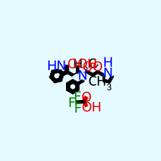 CO[C@@H]([C@@H]1CCCN1)[C@@H](C)C(=O)N(Cc1ccccc1)[C@@H](Cc1c[nH]c2ccccc12)C(=O)O.O=C(O)C(F)(F)F